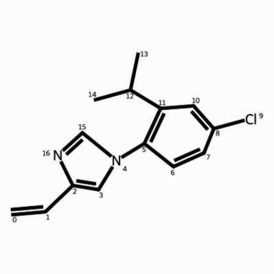 C=Cc1cn(-c2ccc(Cl)cc2C(C)C)cn1